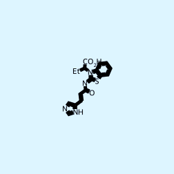 CCC(C(=O)O)n1c(=NC(=O)/C=C/c2cnc[nH]2)sc2ccccc21